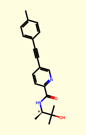 Cc1ccc(C#Cc2ccc(C(=O)N[C@H](C)C(C)(C)O)nc2)cc1